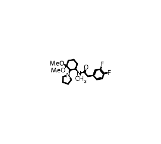 COC1(OC)CCCC(N(C)C(=O)Cc2ccc(F)c(F)c2)C1N1CCCC1